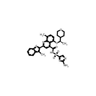 Cc1c(-c2cc(C(=O)NS(=O)(=O)c3cnc(N)s3)c3c(O[C@H](C)C4CCOCC4)ccc(C)c3n2)sc2ccccc12